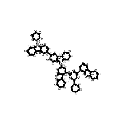 c1ccc(-c2nc(-c3cccc4c3sc3ccccc34)nc(-c3cc(-n4c5ccccc5c5cc(-c6ccc7c(c6)c6ccccc6n7-c6ccccc6)ccc54)cc4sc5ccccc5c34)n2)cc1